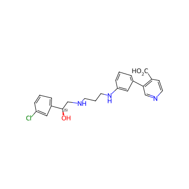 O=C(O)c1ccncc1-c1cccc(NCCCNC[C@@H](O)c2cccc(Cl)c2)c1